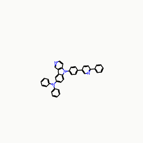 c1ccc(-c2ccc(-c3ccc(-n4c5ccncc5c5cc(N(c6ccccc6)c6ccccc6)ccc54)cc3)cn2)cc1